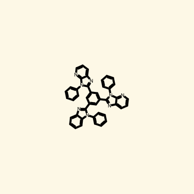 c1ccc(-n2c(-c3cc(-c4nc5cccnc5n4-c4ccccc4)cc(-c4nc5cccnc5n4-c4ccccc4)c3)nc3ccccc32)cc1